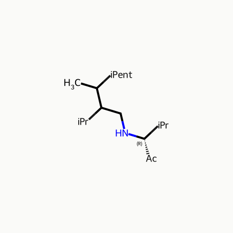 CCCC(C)C(C)C(CN[C@@H](C(C)=O)C(C)C)C(C)C